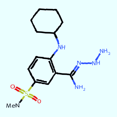 CNS(=O)(=O)c1ccc(NC2CCCCC2)c(/C(N)=N/NN)c1